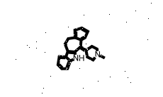 CN1CCC(=C2c3ccccc3CCc3c2[nH]c2ccccc32)CC1